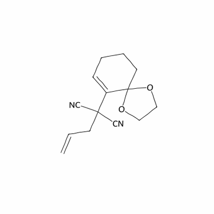 C=CCC(C#N)(C#N)C1=CCCCC12OCCO2